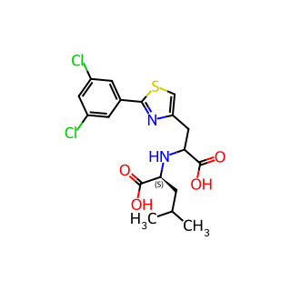 CC(C)C[C@H](NC(Cc1csc(-c2cc(Cl)cc(Cl)c2)n1)C(=O)O)C(=O)O